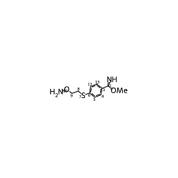 COC(=N)c1ccc(SCCON)cc1